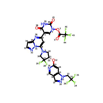 O=C(On1cc(-c2cc(N3C[C@H](Oc4cc5c(cn4)cnn5CC(F)(F)F)C(F)(F)C3)n3nccc3n2)c(=O)[nH]c1=O)C(F)(F)F